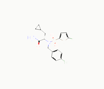 NC(=O)[C@@H](CC1CC1)N(Cc1ccc(Br)cc1)S(=O)(=O)c1ccc(Cl)s1